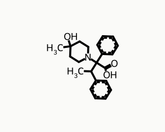 CC(c1ccccc1)C(C(=O)O)(c1ccccc1)N1CCC(C)(O)CC1